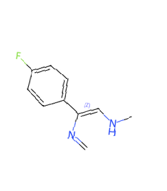 C=N/C(=C\NC)c1ccc(F)cc1